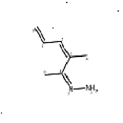 C=C/C=C(C)\C(C)=N/N